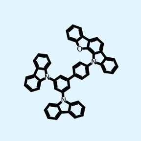 c1ccc2c(c1)oc1c2ccc2c3ccccc3n(-c3ccc(-c4cc(-n5c6ccccc6c6ccccc65)cc(-n5c6ccccc6c6ccccc65)c4)cc3)c21